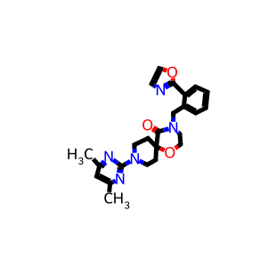 Cc1cc(C)nc(N2CCC3(CC2)OCCN(Cc2ccccc2-c2ncco2)C3=O)n1